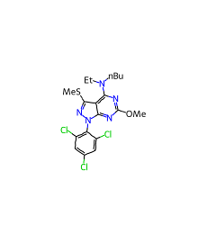 CCCCN(CC)c1nc(OC)nc2c1c(SC)nn2-c1c(Cl)cc(Cl)cc1Cl